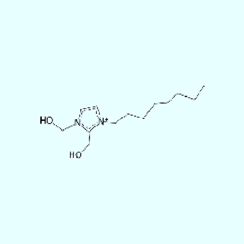 CCCCCCCC[n+]1ccn(CO)c1CO